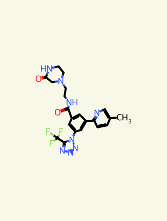 Cc1ccc(-c2cc(C(=O)NCCN3CCNC(=O)C3)cc(-n3nnnc3C(F)(F)F)c2)nc1